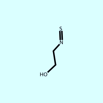 OCCN=S